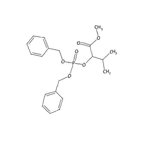 COC(=O)C(OP(=O)(OCc1ccccc1)OCc1ccccc1)C(C)C